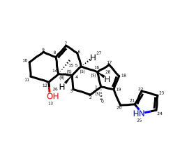 C[C@]12CC[C@H]3[C@@H](CC=C4CCCC(O)[C@@]43C)[C@@H]1CC=C2Cc1ccc[nH]1